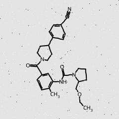 CCOCC1CCCN1C(=O)Nc1cc(C(=O)N2CCC(c3ccc(C#N)cc3)CC2)ccc1C